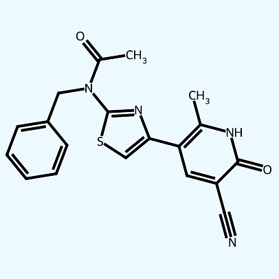 CC(=O)N(Cc1ccccc1)c1nc(-c2cc(C#N)c(=O)[nH]c2C)cs1